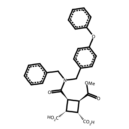 COC(=O)[C@H]1[C@H](C(=O)O)[C@H](C(=O)O)[C@H]1C(=O)N(Cc1ccccc1)Cc1ccc(Oc2ccccc2)cc1